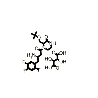 CC(C)(C)OCC1C(=O)NCCN1C(=O)C[C@H](N)Cc1cc(F)c(F)cc1F.O=C(O)C(O)C(O)C(=O)O